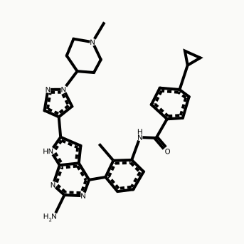 Cc1c(NC(=O)c2ccc(C3CC3)cc2)cccc1-c1nc(N)nc2[nH]c(-c3cnn(C4CCN(C)CC4)c3)cc12